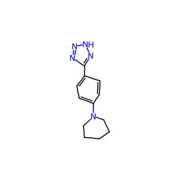 c1cc(N2CCCCC2)ccc1-c1nn[nH]n1